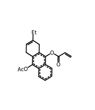 C=CC(=O)Oc1c2c(c(OC(C)=O)c3ccccc13)CC=C(CC)C2